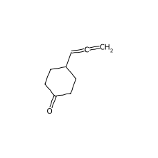 C=C=CC1CCC(=O)CC1